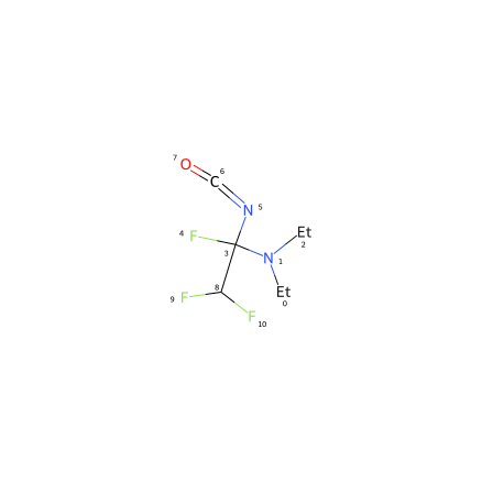 CCN(CC)C(F)(N=C=O)C(F)F